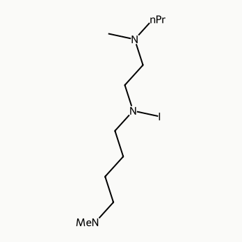 CCCN(C)CCN(I)CCCCNC